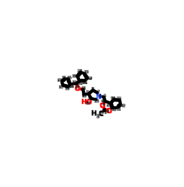 CC(=O)OC(CN1CCC(CCOC(c2ccccc2)c2ccccc2)C(O)C1)c1ccccc1